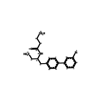 CCc1cccc(-c2ccc(CC(CC(=O)O)NC(=O)CCC(=O)O)cc2)c1